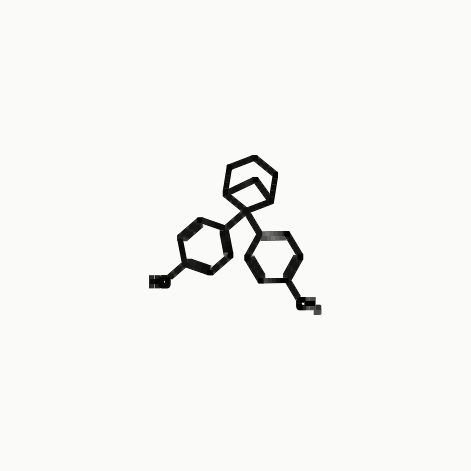 Cc1ccc(C2(c3ccc(O)cc3)C3CCCC2C3)cc1